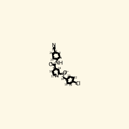 N#Cc1ccc(NC(=O)c2ccnc([S+]([O-])Cc3ccc(Cl)cc3)c2)cc1